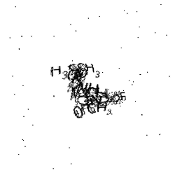 Cc1c(C=O)cc(-c2nc3c([nH]2)CN(S(=O)(=O)C(C)C)CC3)c(C)c1N1CCC(c2ccc(F)cc2)CC1